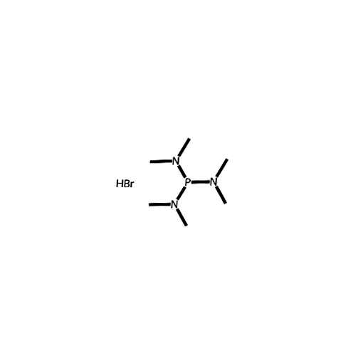 Br.CN(C)P(N(C)C)N(C)C